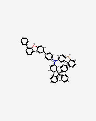 c1ccc(-c2cccc3c2oc2ccc(-c4ccc(N(c5ccc6c(c5)C(c5ccccc5)(c5ccccc5)c5ccccc5-6)c5ccc6sc7ccccc7c6c5)cc4)cc23)cc1